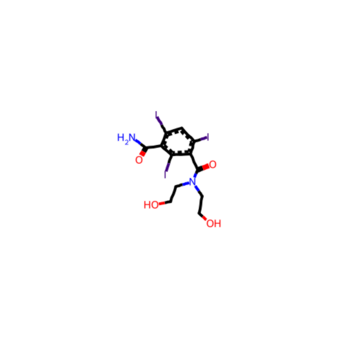 NC(=O)c1c(I)cc(I)c(C(=O)N(CCO)CCO)c1I